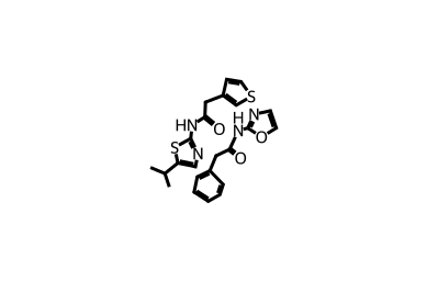 CC(C)c1cnc(NC(=O)Cc2ccsc2)s1.O=C(Cc1ccccc1)Nc1ncco1